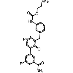 COCCOC(=O)Nc1cccc(Cc2n[nH]cc(-c3cc(F)cc(C(N)=O)c3)c2=O)c1